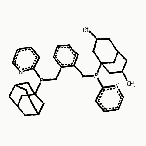 CCC1CC2CC(C)CC(P(Cc3ccccc3CP(c3ccccn3)C34CC5CC(CC(C5)C3)C4)c3ccccn3)(C1)C2